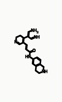 N=C/C(=C\N)C1=C(/C=C/C(=O)Nc2ccc3c(c2)CCNC3)C=NCC1